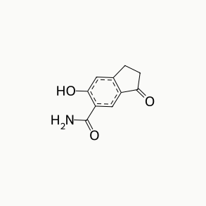 NC(=O)c1cc2c(cc1O)CCC2=O